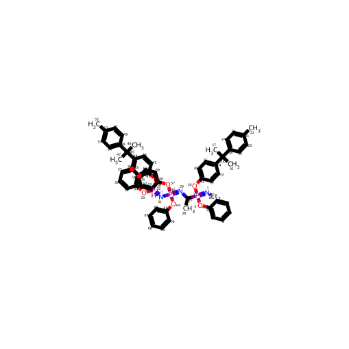 CCN=P(Oc1ccccc1)(Oc1ccc(C(C)(C)c2ccc(C)cc2)cc1)C(C)N=P(/N=[PH](/Oc1ccccc1)Oc1ccc(C(C)(C)c2ccc(C)cc2)cc1)(Oc1ccccc1)Oc1ccccc1